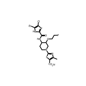 CCc1[nH]c(C(=O)NC2CCN(c3nc(C)c(C(=O)O)s3)CC2OCCF)nc1Cl